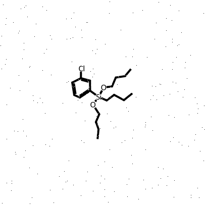 CCCCO[Si](CCCC)(OCCCC)c1cccc(Cl)c1